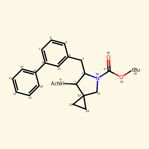 CC(=O)NC1C(Cc2cccc(-c3ccccc3)c2)N(C(=O)OC(C)(C)C)CC12CC2